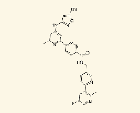 Cc1cc(Nc2cc(C#N)on2)nc(-c2ccc(C(=O)NCc3ccc(-c4cc(F)cnc4C)nc3)nc2)n1